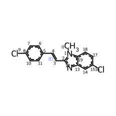 Cn1c(/C=C/c2ccc(Cl)cc2)nc2cc(Cl)ccc21